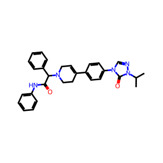 CC(C)n1ncn(-c2ccc(C3=CCN(C(C(=O)Nc4ccccc4)c4ccccc4)CC3)cc2)c1=O